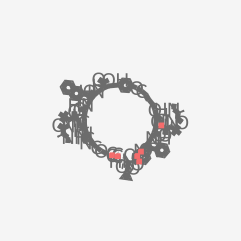 CN[C@@H](C)C(=O)N[C@H](C(=O)N1C[C@@H]2C[C@H]1C(=O)N[C@@H](Cc1ccc3ccccc3c1)C(=O)N[C@H](C(=O)O)Cc1ccc(cc1)OC/C=C/CO[C@H]1C[C@@H](C(=O)N[C@@H](C(c3ccccc3)c3ccccc3)C(=O)N[C@H](C(=O)NS(=O)(=O)C3CC3)Cc3ccc(cc3)OCc3cn2nn3)N(C(=O)[C@@H](NC(=O)[C@H](C)NC)C(C)(C)C)C1)C(C)(C)C